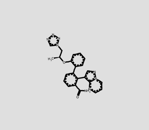 C[C@@H](Cn1cnnn1)Oc1ccccc1-c1cccc(C(N)=O)c1-c1cnn2cccnc12